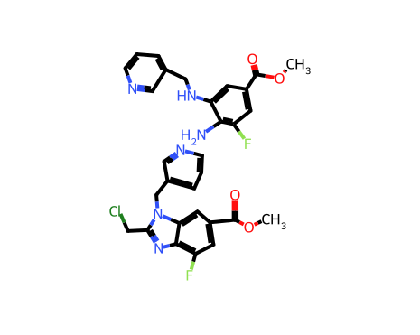 COC(=O)c1cc(F)c(N)c(NCc2cccnc2)c1.COC(=O)c1cc(F)c2nc(CCl)n(Cc3cccnc3)c2c1